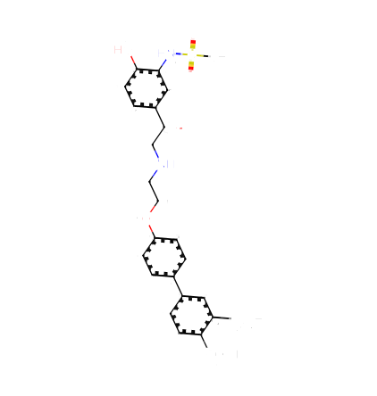 CS(=O)(=O)Nc1cc([C@H](O)CNCCOc2ccc(-c3ccc(C(=O)O)c(C(=O)O)c3)cc2)ccc1O